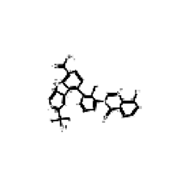 Cc1c(-c2ccc(C(N)=O)c3[nH]c4cnc(C(C)(C)O)cc4c23)cccc1-n1cnc2c(F)cccc2c1=O